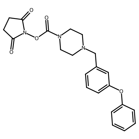 O=C(ON1C(=O)CCC1=O)N1CCN(Cc2cccc(Oc3ccccc3)c2)CC1